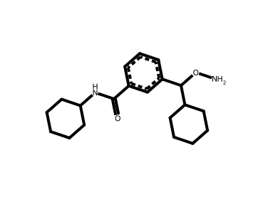 NOC(c1cccc(C(=O)NC2CCCCC2)c1)C1CCCCC1